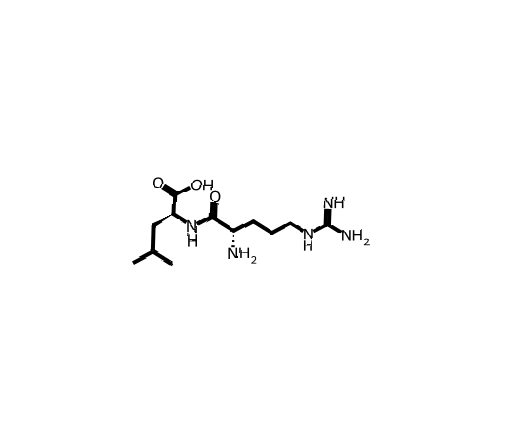 CC(C)C[C@H](NC(=O)[C@@H](N)CCCNC(=N)N)C(=O)O